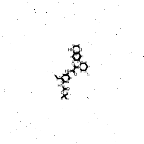 CCc1cc(NC(=O)C(=O)N2C[C@@H](C)CC[C@@H]2c2ccc3c(c2)OCCN3)cnc1NC(=O)OC(C)(C)C